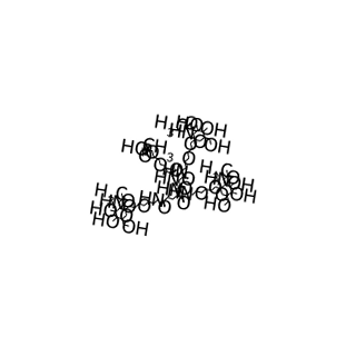 CC(=O)NC1C(OCCOCCNC(=O)CCC(NC(=O)C(NC(=O)CCOCCOP(C)(=O)O)C(=O)NCCOCCOC2OC(CO)C(O)C(O)C2NC(C)=O)C(=O)NCCOCCOC2OC(CO)C(O)C(O)C2NC(C)=O)OC(CO)C(O)C1O